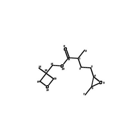 CC(CCC1OC1C)C(=O)OCC1(C)COC1